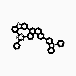 c1ccc(-c2nc(-c3ccccc3)nc(-c3cccc4oc5ccc(-c6ccc7c(ccc8cc(-c9ccc%10c(c9)c9ccccc9n%10-c9ccccc9)ccc87)c6)cc5c34)n2)cc1